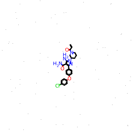 C=CC(=O)N1CCCC(n2nc(-c3ccc(Oc4ccc(Cl)cc4)cc3)c(C(N)=O)c2N)C1